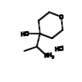 CC(N)C1(O)CCOCC1.Cl